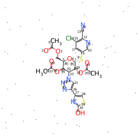 CC(=O)OC[C@H]1O[C@H](Sc2cnc(C#N)c(Cl)c2)[C@H](OC(C)=O)[C@@H](n2cc(-c3csc(O)n3)nn2)[C@H]1OC(C)=O